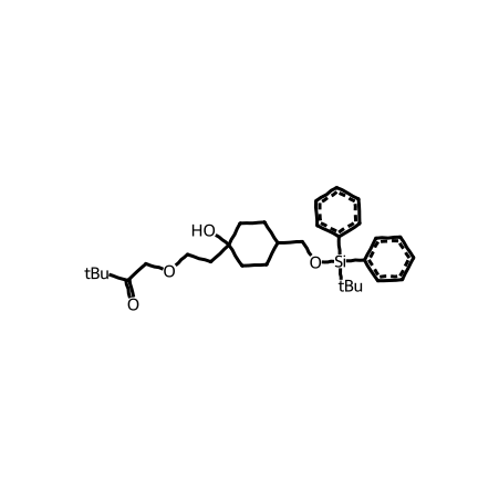 CC(C)(C)C(=O)COCCC1(O)CCC(CO[Si](c2ccccc2)(c2ccccc2)C(C)(C)C)CC1